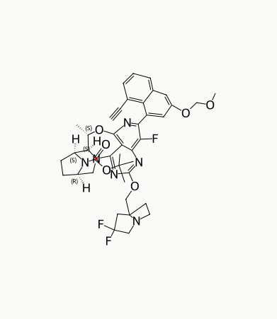 C#Cc1cccc2cc(OCOC)cc(-c3nc4c5c(nc(OCC67CCN6CC(F)(F)C7)nc5c3F)N3C[C@H]5CC[C@@H]([C@H]3[C@H](C)O4)N5C(=O)OC(C)(C)C)c12